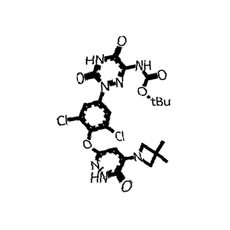 CC1(C)CN(c2cc(Oc3c(Cl)cc(-n4nc(NC(=O)OC(C)(C)C)c(=O)[nH]c4=O)cc3Cl)n[nH]c2=O)C1